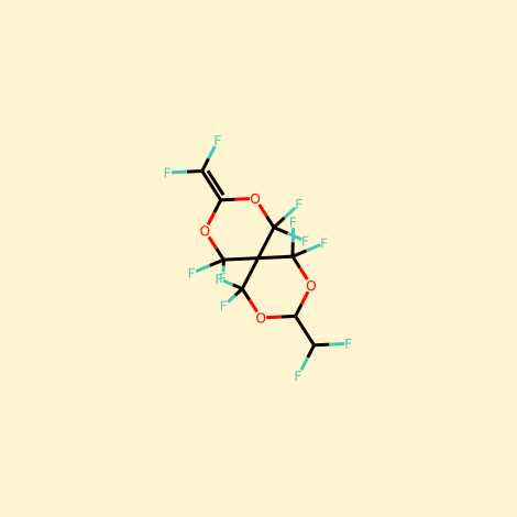 FC(F)=C1OC(F)(F)C2(C(F)(F)O1)C(F)(F)OC(C(F)F)OC2(F)F